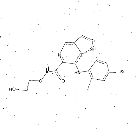 O=C(NOCCO)c1ncc2cn[nH]c2c1Nc1ccc(Br)cc1F